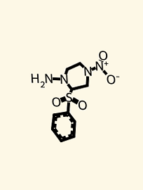 NN1CCN([N+](=O)[O-])CC1S(=O)(=O)c1ccccc1